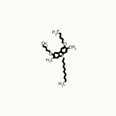 CCCCCCCCCCp1c2cc(C)c(OCCCCC)cc2c2cc(OCCCCC)c(C)cc21